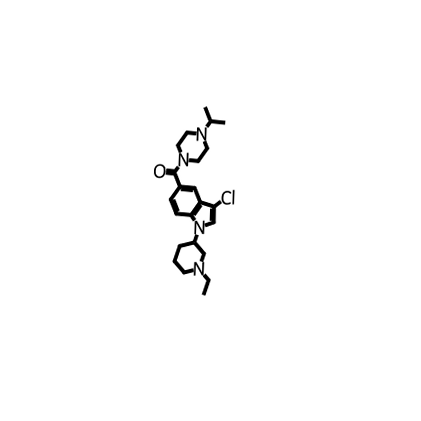 CCN1CCCC(n2cc(Cl)c3cc(C(=O)N4CCN(C(C)C)CC4)ccc32)C1